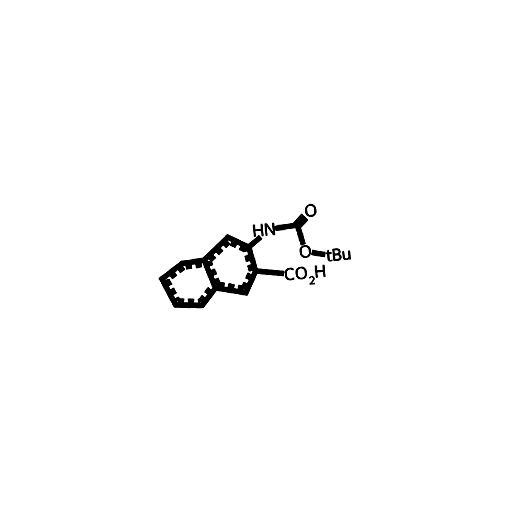 CC(C)(C)OC(=O)Nc1cc2ccccc2cc1C(=O)O